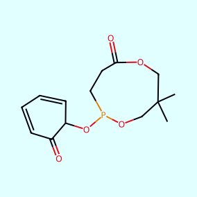 CC1(C)COC(=O)CCP(OC2C=CC=CC2=O)OC1